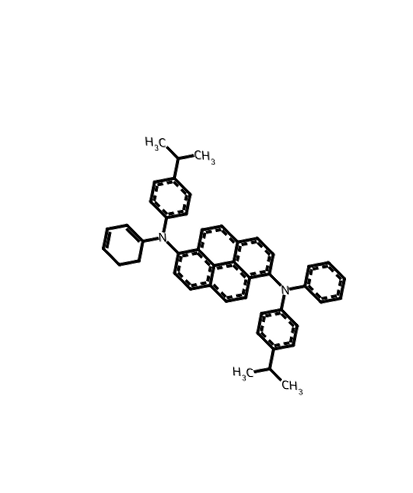 CC(C)c1ccc(N(C2=CC=CCC2)c2ccc3ccc4c(N(c5ccccc5)c5ccc(C(C)C)cc5)ccc5ccc2c3c54)cc1